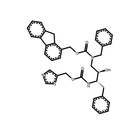 O=C(N[C@@H](Cc1ccccc1)[C@H](O)CN(Cc1ccccc1)C(=O)OCc1cccc2c1Cc1ccccc1-2)OCc1cncs1